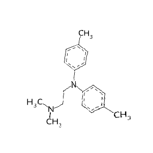 Cc1ccc(N(CCN(C)C)c2ccc(C)cc2)cc1